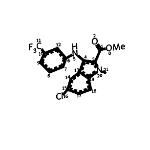 COC(=O)c1c(Nc2cccc(C(F)(F)F)c2)c2cc(Cl)ccc2n1C